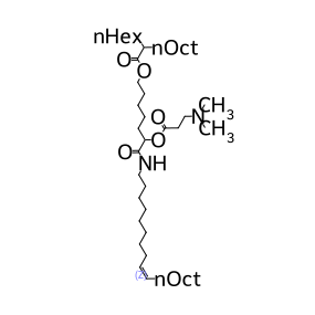 CCCCCCCC/C=C\CCCCCCCCNC(=O)C(CCCCCOC(=O)C(CCCCCC)CCCCCCCC)OC(=O)CCN(C)C